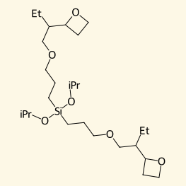 CCC(COCCC[Si](CCCOCC(CC)C1CCO1)(OC(C)C)OC(C)C)C1CCO1